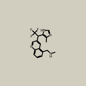 CNCc1cccc2ncc(C(c3[nH]cnc3C)C(F)(F)F)cc12